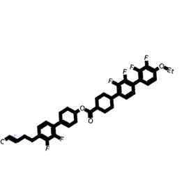 C/C=C/CCc1ccc(C2=CCC(OC(=O)C3CCC(c4ccc(-c5ccc(OCC)c(F)c5F)c(F)c4F)CC3)CC2)c(F)c1F